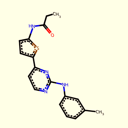 CCC(=O)Nc1ccc(-c2ccnc(Nc3cccc(C)c3)n2)s1